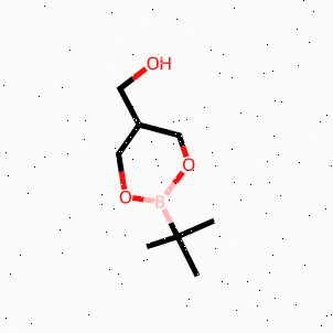 CC(C)(C)B1OCC(CO)CO1